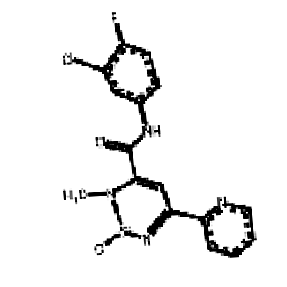 CN1C(C(=O)Nc2ccc(F)c(Cl)c2)=CC(c2ccccn2)=N[S+]1[O-]